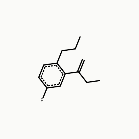 C=C(CC)c1cc(F)ccc1CCC